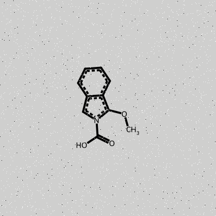 COc1c2ccccc2cn1C(=O)O